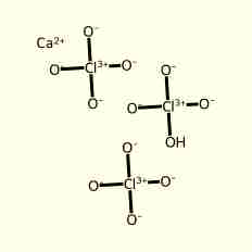 [Ca+2].[O-][Cl+3]([O-])([O-])O.[O-][Cl+3]([O-])([O-])[O-].[O-][Cl+3]([O-])([O-])[O-]